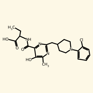 CCC(NC(=O)c1nc(CC2CCN(c3ccccc3Cl)CC2)nc(C)c1O)C(=O)O